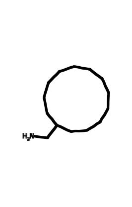 NCC1CCCCCCCCCCCC1